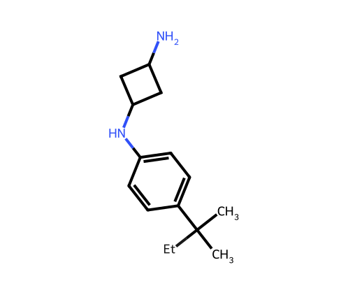 CCC(C)(C)c1ccc(NC2CC(N)C2)cc1